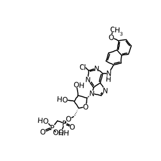 COc1cccc2cc(Nc3nc(Cl)nc4c3ncn4[C@@H]3O[C@H](COP(=O)(O)CP(=O)(O)O)C(O)C3O)ccc12